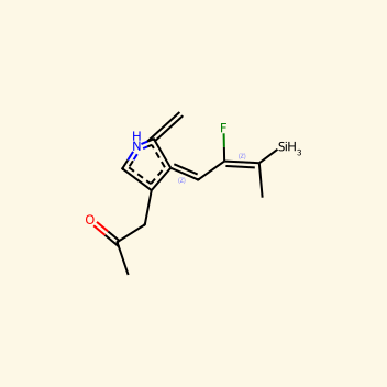 C=c1[nH]cc(CC(C)=O)/c1=C/C(F)=C(\C)[SiH3]